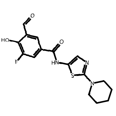 O=Cc1cc(C(=O)Nc2cnc(N3CCCCC3)s2)cc(F)c1O